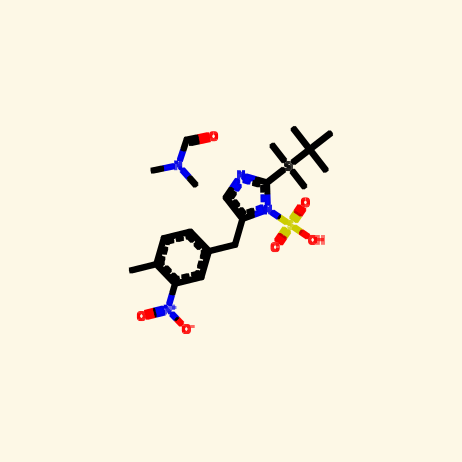 CN(C)C=O.Cc1ccc(Cc2cnc([Si](C)(C)C(C)(C)C)n2S(=O)(=O)O)cc1[N+](=O)[O-]